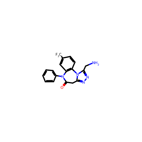 NCc1nnc2n1-c1ccc(C(F)(F)F)cc1N(c1ccccc1)C(=O)C2